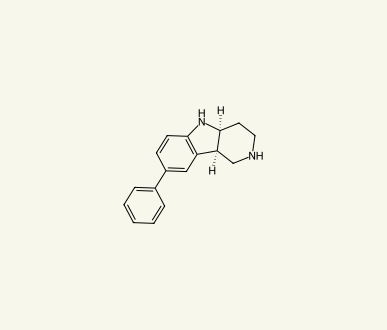 c1ccc(-c2ccc3c(c2)[C@@H]2CNCC[C@@H]2N3)cc1